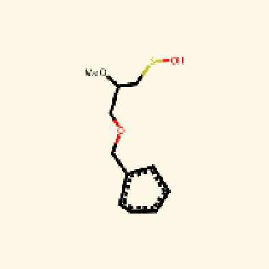 COC(COCc1ccccc1)CSO